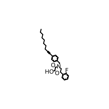 CCCCCCCCC#Cc1ccc(CN(CCc2ccccc2F)C(=O)C(=O)O)cc1